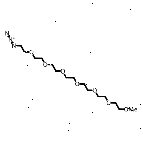 [CH2]OCCOCCOCCOCCOCCOCCOCCN=[N+]=[N-]